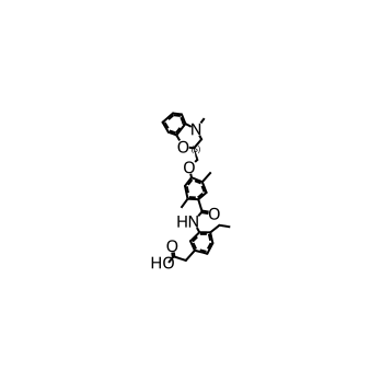 CCc1ccc(CC(=O)O)cc1NC(=O)c1cc(C)c(OC[C@@H]2CN(C)c3ccccc3O2)cc1C